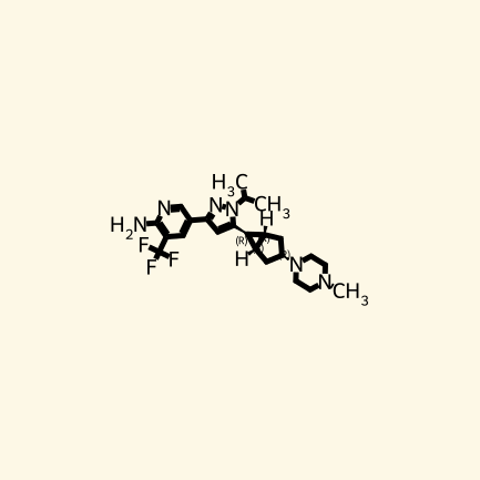 CC(C)n1nc(-c2cnc(N)c(C(F)(F)F)c2)cc1[C@H]1[C@@H]2C[C@H](N3CCN(C)CC3)C[C@@H]21